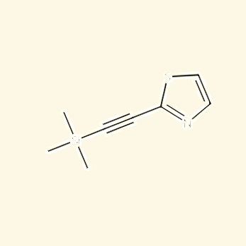 C[Si](C)(C)C#Cc1nccs1